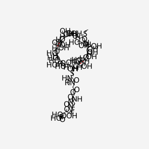 CCSCC1O[C@@H]2O[C@H](CCO)/C(O)=C(/O)[C@@H](O)O[C@@H]3C(CO)O[C@@H](O[C@H](CCSC[C@@H](NC(C)(C)CC)C(=O)NCCC(=O)OCC(=O)Nc4ccn([C@@H]5O[C@H](COP(=O)(O)O)[C@@H](O)C5(F)F)c(=O)n4)/C(O)=C(\O)[C@@H](O)O[C@H](CCO)/C(O)=C(/O)[C@H](O)O[C@@H]4C(CO)O[C@H](O[C@H](CCO)C(O)C(O)[C@H](O)O[C@H]1C(O)C2O)C(O)C4O)C(O)[C@H]3O